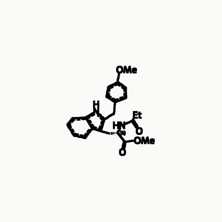 CCC(=O)N[C@@H](Cc1c(Cc2ccc(OC)cc2)[nH]c2ccccc12)C(=O)OC